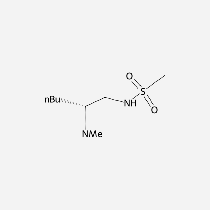 CCCC[C@H](CNS(C)(=O)=O)NC